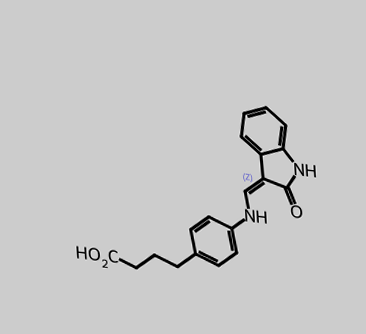 O=C(O)CCCc1ccc(N/C=C2\C(=O)Nc3ccccc32)cc1